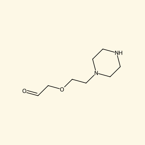 O=CCOCCN1CCNCC1